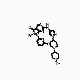 CC(C)N1CCC(N2CCC(n3cc(Nc4ncc5c(=O)n(C(C)C)n(-c6cccc(C(F)(F)F)n6)c5n4)cn3)CC2)CC1